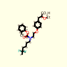 CCOC(Cc1ccc(OCCN(CCCCC(C)(F)F)C(=O)Oc2ccccc2C(F)(F)F)cc1)C(=O)O